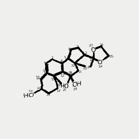 CC1(C2CCC3C4CC=C5CC(O)CCC5(C)C4C(O)(O)CC32C)OCCO1